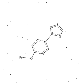 CC(C)Oc1ccc(-c2cs[c]n2)cc1